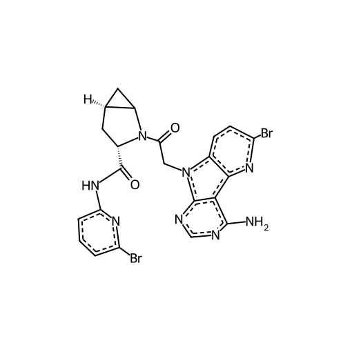 Nc1ncnc2c1c1nc(Br)ccc1n2CC(=O)N1C2C[C@@H]2C[C@H]1C(=O)Nc1cccc(Br)n1